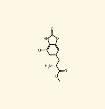 COC(=O)[C@H](N)Cc1cc(Cl)c2[nH]c(=O)oc2c1